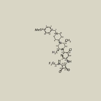 CSc1ccc(CN2CCC(N3C[C@H](C)N(c4ncc(Nc5c(NCC(F)(F)F)c(=O)c5=O)cc4Cl)C[C@H]3C)CC2)cc1